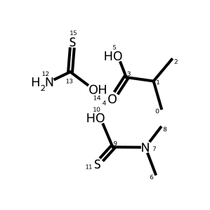 CC(C)C(=O)O.CN(C)C(O)=S.NC(O)=S